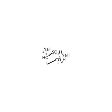 CC(=O)O.O=S(=O)(O)O.[NaH].[NaH]